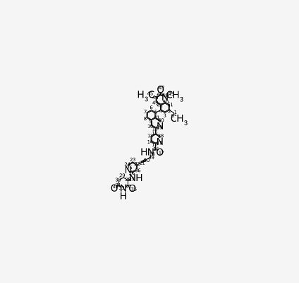 CCc1cc(-c2cccc3cc(-c4ccc(C(=O)NCC#Cc5ccnc(NC6CCC(=O)NC6=O)c5)nc4)ncc23)c2cc(C)c(=O)n(C)c2c1